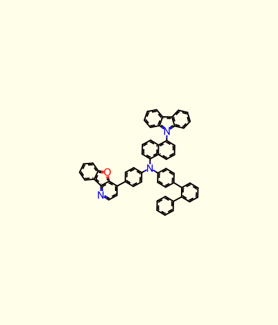 c1ccc(-c2ccccc2-c2ccc(N(c3ccc(-c4ccnc5c4oc4ccccc45)cc3)c3cccc4c(-n5c6ccccc6c6ccccc65)cccc34)cc2)cc1